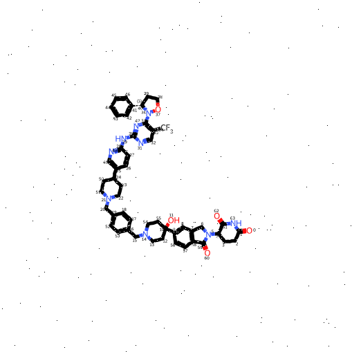 O=C1CCC(N2Cc3cc(C4(O)CCN(Cc5ccc(CN6CCC(c7ccc(Nc8ncc(C(F)(F)F)c(N9OCC[C@H]9c9ccccc9)n8)nc7)CC6)cc5)CC4)ccc3C2=O)C(=O)N1